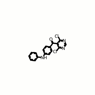 O=C(c1ccc(Nc2ccccc2)cc1)c1c(Cl)ncnc1Cl